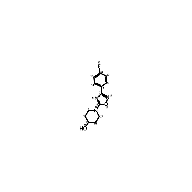 OC1CCN(c2nc(-c3ccc(F)cc3)no2)CC1